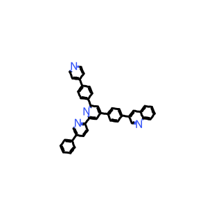 c1ccc(-c2ccc(-c3cc(-c4ccc(-c5cnc6ccccc6c5)cc4)cc(-c4ccc(-c5ccncc5)cc4)n3)nc2)cc1